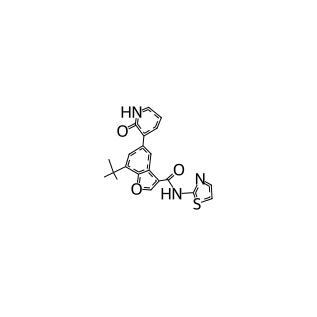 CC(C)(C)c1cc(-c2ccc[nH]c2=O)cc2c(C(=O)Nc3nccs3)coc12